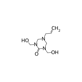 C=CCN1CN(CO)C(=O)N(CO)C1